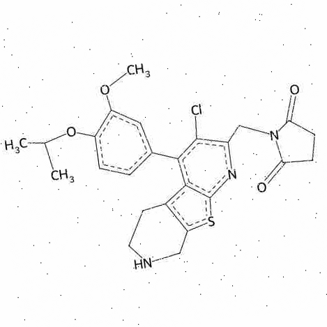 COc1cc(-c2c(Cl)c(CN3C(=O)CCC3=O)nc3sc4c(c23)CCNC4)ccc1OC(C)C